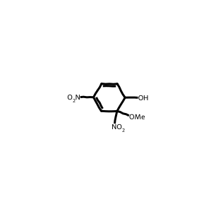 COC1([N+](=O)[O-])C=C([N+](=O)[O-])C=CC1O